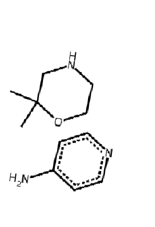 CC1(C)CNCCO1.Nc1ccncc1